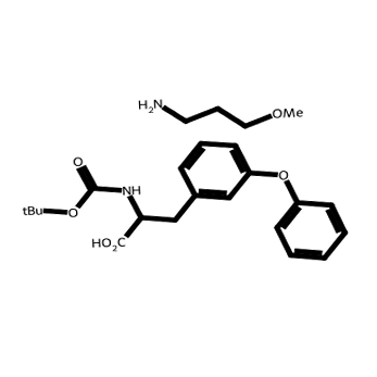 CC(C)(C)OC(=O)NC(Cc1cccc(Oc2ccccc2)c1)C(=O)O.COCCCN